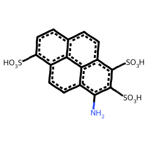 Nc1c(S(=O)(=O)O)c(S(=O)(=O)O)c2ccc3ccc(S(=O)(=O)O)c4ccc1c2c34